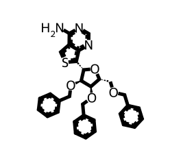 Nc1ncnc2c([C@@H]3O[C@H](COCc4ccccc4)[C@@H](OCc4ccccc4)[C@H]3OCc3ccccc3)scc12